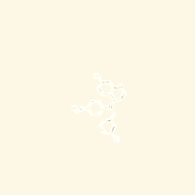 NC1CCC(N(Cc2cccc(Cl)c2)c2ccnc3cc(Cl)ccc23)CC1